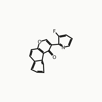 O=c1c(-c2ncccc2F)coc2ccc3ccccc3c12